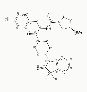 CN[C@@H]1CC[C@H](C(=O)NC(Cc2ccc(Cl)cc2)C(=O)N2CCC(N3C(=O)C(C)(C)c4ccccc43)CC2)C1